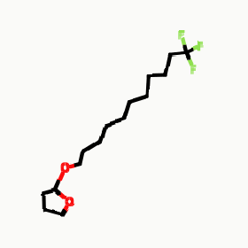 FC(F)(F)CCCCCCCCCCOC1CCCO1